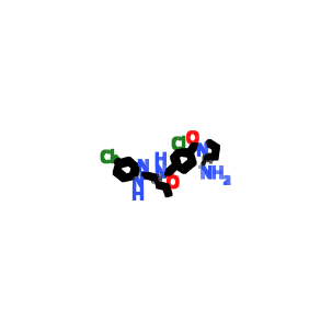 CCC[C@H](NC(=O)c1ccc(C(=O)N2CCC[C@@H]2CN)c(Cl)c1)c1nc2cc(Cl)ccc2[nH]1